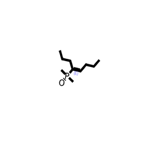 CCC/C=C(\CCC)P(C)(C)=O